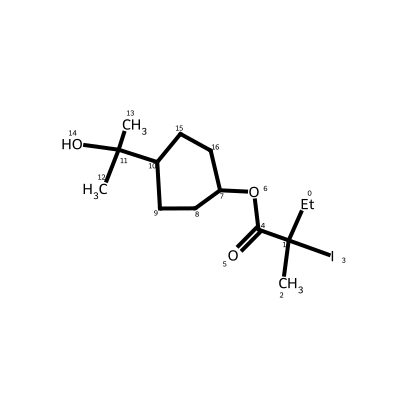 CCC(C)(I)C(=O)OC1CCC(C(C)(C)O)CC1